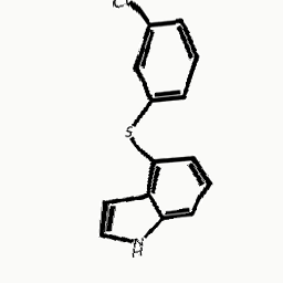 Clc1cccc(Sc2cccc3[nH]ccc23)c1